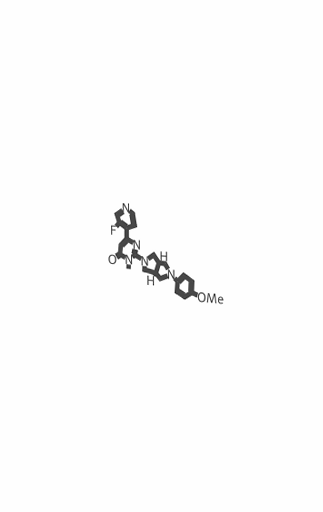 COc1ccc(N2C[C@@H]3CN(c4nc(-c5ccncc5F)cc(=O)n4C)C[C@@H]3C2)cc1